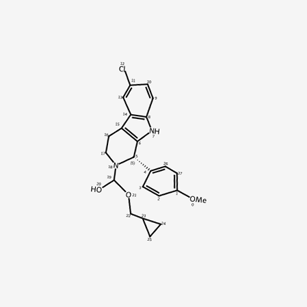 COc1ccc([C@H]2c3[nH]c4ccc(Cl)cc4c3CCN2C(O)OCC2CC2)cc1